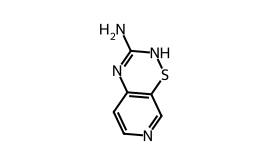 NC1=Nc2ccncc2SN1